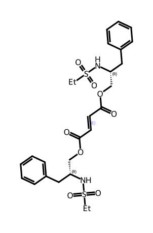 CCS(=O)(=O)N[C@@H](COC(=O)/C=C/C(=O)OC[C@@H](Cc1ccccc1)NS(=O)(=O)CC)Cc1ccccc1